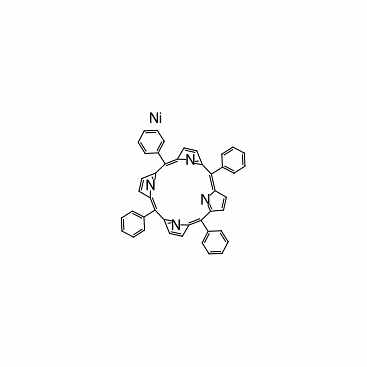 C1=CC2=C(c3ccccc3)C3=NC(=C(c4ccccc4)C4=NC(=C(c5ccccc5)C5=NC(=C(c6ccccc6)C1=N2)C=C5)C=C4)C=C3.[Ni]